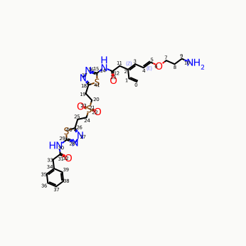 C=C/C(=C\C=C\OCCCN)CC(=O)Nc1nnc(CCS(=O)(=O)CCc2nnc(NC(=O)Cc3ccccc3)s2)s1